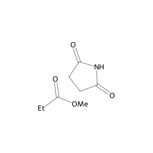 CCC(=O)OC.O=C1CCC(=O)N1